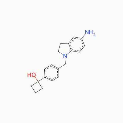 Nc1ccc2c(c1)CCN2Cc1ccc(C2(O)CCC2)cc1